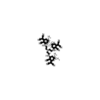 CC1(C)CC(NCCN(CCNC2=C(C#N)C(=C(C#N)C#N)CC(C)(C)C2)CCNC2=C(C#N)C(=C(C#N)C#N)CC(C)(C)C2)=C(C#N)C(=C(C#N)C#N)C1